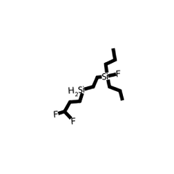 CCC[Si](F)(CCC)CC[SiH2]CCC(F)F